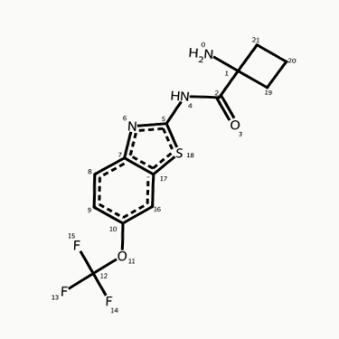 NC1(C(=O)Nc2nc3ccc(OC(F)(F)F)cc3s2)CCC1